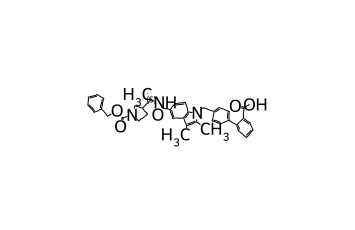 Cc1c(C)n(Cc2ccc(-c3ccccc3C(=O)O)cc2)c2ccc(C(=O)N[C@@H](C)C3CCN(C(=O)OCc4ccccc4)C3)cc12